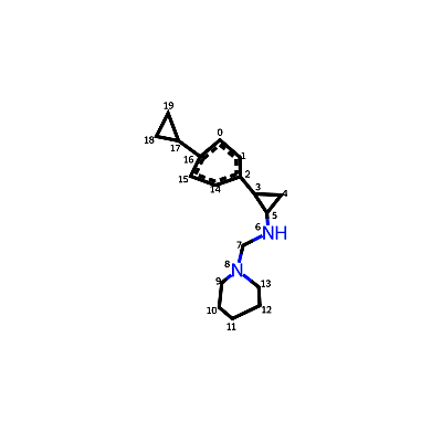 c1cc(C2CC2NCN2CCCCC2)ccc1C1CC1